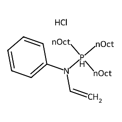 C=CN(c1ccccc1)[PH](CCCCCCCC)(CCCCCCCC)CCCCCCCC.Cl